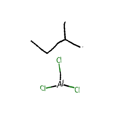 [CH2]C(C)CC.[Cl][Al]([Cl])[Cl]